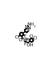 Nc1nc2cc(-c3ccc(Cl)c(C(=O)NCC(F)(F)C(O)c4ccc(Cl)c(Cl)c4)c3F)ccn2n1